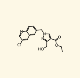 CCOC(=O)c1cn(Cc2ccc3ncc(Cl)cc3c2)nc1CO